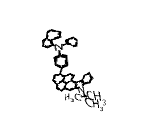 CC(C)(C)n1c2ccccc2c2c3ccc4c(-c5ccc(N(c6ccccc6)c6cccc7ccccc67)cc5)ccc5ccc(cc21)c3c54